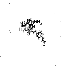 CCCCN1CCN(CCn2c(=O)n(C)n3c4c(nc23)N(N)CN=C4c2ccco2)CC1